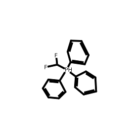 FC(F)[PH](c1ccccc1)(c1ccccc1)c1ccccc1